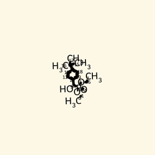 CCOP(=O)(OCC)C(O)c1ccc(C(C)(C)C)cc1